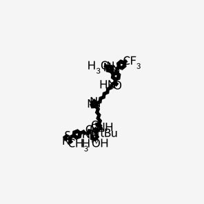 Cc1ncsc1-c1ccc(CNC(=O)[C@@H]2C[C@@H](O)CN2C(=O)C(NC(=O)CCCCCc2cnnn2CCCCCCCNC(=O)c2ccc3c(c2)c2cn(C)nc2n3-c2ccc(C(F)(F)F)cc2)C(C)(C)C)cc1